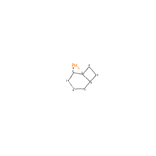 C1CCC2CCC2C1.P